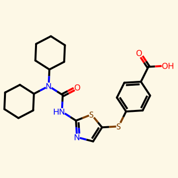 O=C(O)c1ccc(Sc2cnc(NC(=O)N(C3CCCCC3)C3CCCCC3)s2)cc1